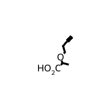 C#CCCOC(C)C(=O)O